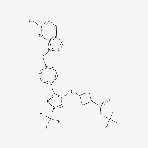 CC(C)(C)OC(=O)N1CC(Oc2cc(C(F)(F)F)nn2-c2ccc(Cn3ncc4cnc(Cl)nc43)cc2)C1